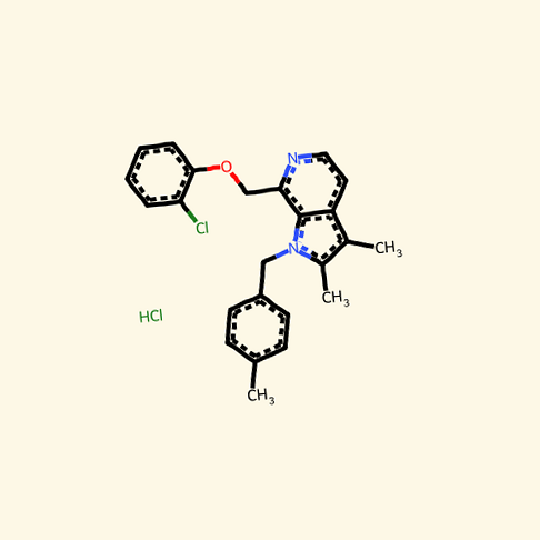 Cc1ccc(Cn2c(C)c(C)c3ccnc(COc4ccccc4Cl)c32)cc1.Cl